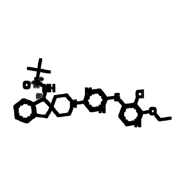 CCOc1nccc(Sc2cnc(N3CCC4(CC3)Cc3ccccc3[C@H]4N[S@+]([O-])C(C)(C)C)cn2)c1Cl